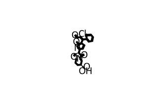 O=C[C@H](C(=O)N1CCC[C@H](C(=O)O)C1)c1ccc2c(-c3ccccc3Cl)cc(=O)oc2n1